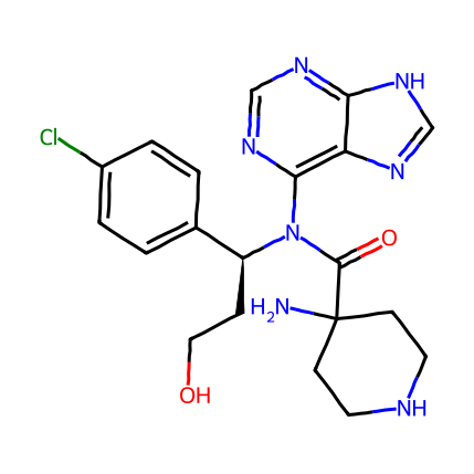 NC1(C(=O)N(c2ncnc3[nH]cnc23)[C@@H](CCO)c2ccc(Cl)cc2)CCNCC1